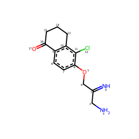 N=C(CN)COc1ccc2c(c1Cl)CCCC2=O